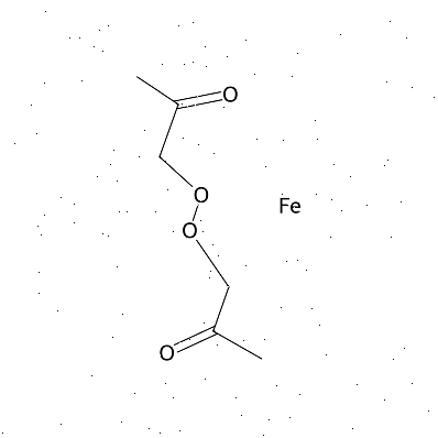 CC(=O)COOCC(C)=O.[Fe]